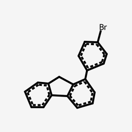 Brc1ccc(-c2cccc3c2Cc2ccccc2-3)cc1